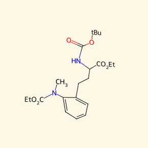 CCOC(=O)C(CCc1ccccc1N(C)C(=O)OCC)NC(=O)OC(C)(C)C